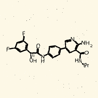 CC(C)NC(=O)c1cc(-c2ccc(NC(=O)[C@@H](O)c3cc(F)cc(F)c3)cc2)cnc1N